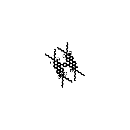 C=c1c2ccc3c4ccc5c6c(ccc(c7c(-c8ccc(-c9cc%10c%11c(ccc%12c%13ccc%14c%15c(ccc(c9c%11%12)c%15%13)C(=O)N(C(CCCCCC)CCCCCC)C%14=O)C(=O)N(C(CCCCCC)CCCCCC)C%10=O)cc8)cc(c(=O)n1C(CCCCCC)CCCCCC)c2c37)c64)C(=O)N(C(CCCCCC)CCCCCC)C5=O